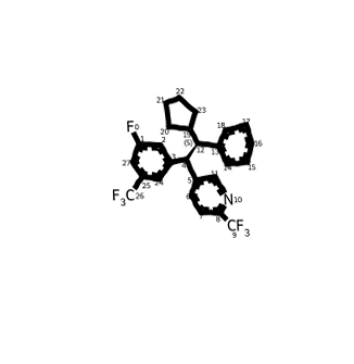 Fc1cc([C](c2ccc(C(F)(F)F)nc2)[C@H](c2ccccc2)C2CCCC2)cc(C(F)(F)F)c1